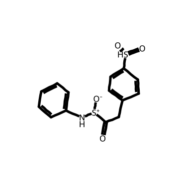 O=C(Cc1ccc([SH](=O)=O)cc1)[S+]([O-])Nc1ccccc1